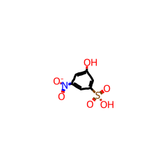 O=[N+]([O-])c1cc(O)cc(S(=O)(=O)O)c1